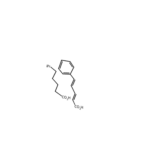 CC(C)CCCCC(=O)O.O=C(O)C=CC=Cc1ccccc1